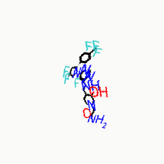 NC(=O)CN1CCC(CNc2ncnc(N3CC(F)(F)C[C@@H]3c3ccc(C(F)(F)F)cc3)c2F)C(O)C1